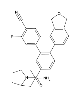 N#Cc1ccc(-c2cc(C(=O)N3C4CCC3CC(N)C4)ccc2-c2ccc3c(c2)COC3)cc1F